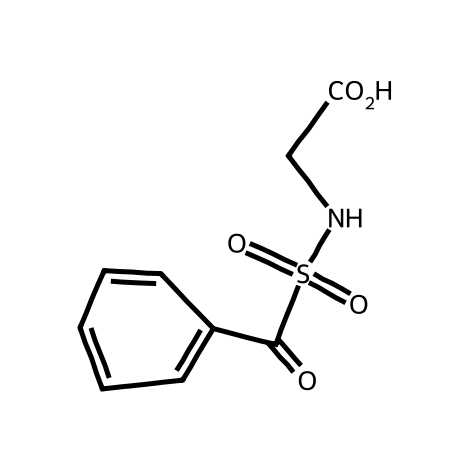 O=C(O)CNS(=O)(=O)C(=O)c1ccccc1